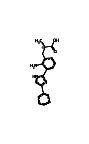 C[C@H](Cc1cccc(-c2nc(-c3ccccc3)c[nH]2)c1N)C(=O)O